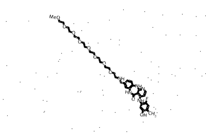 COCCOCCOCCOCCOCCOCCOCCOCCNCc1ccc2c(c1)NC(=O)c1c(Nc3cc(O)c(C)cc3F)ccnc1N2